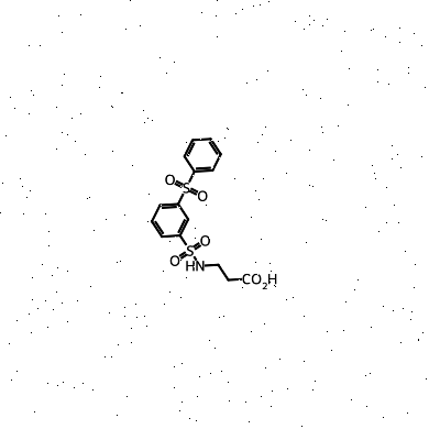 O=C(O)CCNS(=O)(=O)c1cccc(S(=O)(=O)c2ccccc2)c1